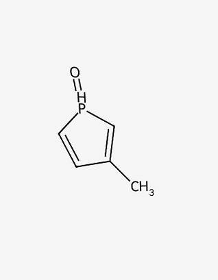 CC1=C[PH](=O)C=C1